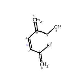 C=C(Br)/C=C\C(=C)CO